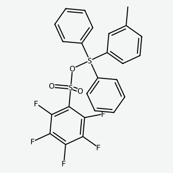 Cc1cccc(S(OS(=O)(=O)c2c(F)c(F)c(F)c(F)c2F)(c2ccccc2)c2ccccc2)c1